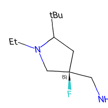 CCN1C[C@@](F)(CN)CC1C(C)(C)C